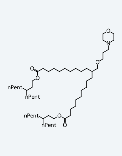 CCCCCC(CCCCC)CCOC(=O)CCCCCCCCCC(CCCCCCCCCC(=O)OCCC(CCCCC)CCCCC)COCCCN1CCOCC1